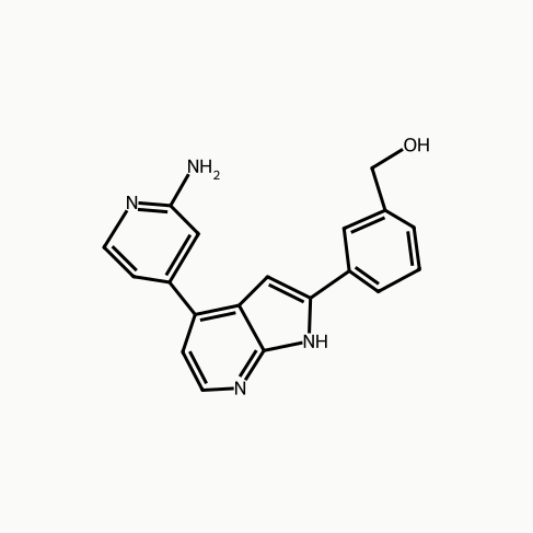 Nc1cc(-c2ccnc3[nH]c(-c4cccc(CO)c4)cc23)ccn1